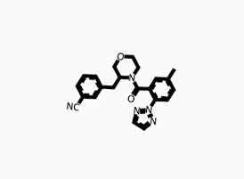 Cc1ccc(-n2nccn2)c(C(=O)N2CCOCC2Cc2cccc(C#N)c2)c1